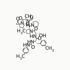 Cc1ccc(NC(=O)N[C@@H](Cc2cccc(C)c2)C(=O)N[C@@H](CO)C(=O)N2CCC[C@H]2C(=O)N2CCCC[C@H]2C(=O)N[C@@H](C)C(=O)N2C[C@H](C)CC23CC3=O)cc1